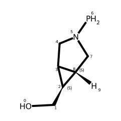 OC[C@H]1C2CN(P)C[C@@H]21